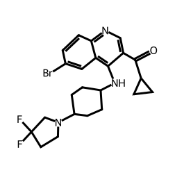 O=C(c1cnc2ccc(Br)cc2c1NC1CCC(N2CCC(F)(F)C2)CC1)C1CC1